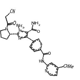 COc1ccnc(NC(=O)c2ccc(-c3nc(C4CCCN4C(=O)CC#N)n(N)c3C(N)=O)cc2)c1